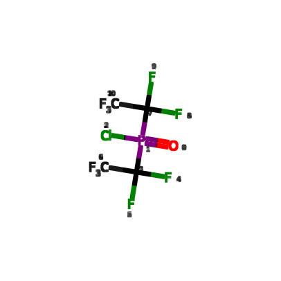 O=P(Cl)(C(F)(F)C(F)(F)F)C(F)(F)C(F)(F)F